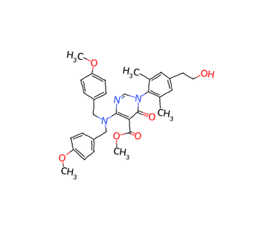 COC(=O)c1c(N(Cc2ccc(OC)cc2)Cc2ccc(OC)cc2)ncn(-c2c(C)cc(CCO)cc2C)c1=O